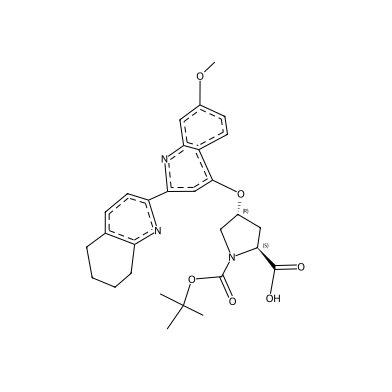 COc1ccc2c(O[C@@H]3C[C@@H](C(=O)O)N(C(=O)OC(C)(C)C)C3)cc(-c3ccc4c(n3)CCCC4)nc2c1